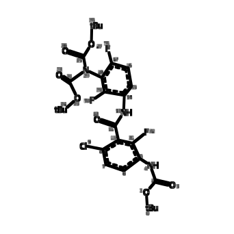 CC(C)(C)OC(=O)Nc1ccc(Cl)c(C(=O)Nc2ccc(F)c(N(C(=O)OC(C)(C)C)C(=O)OC(C)(C)C)c2F)c1F